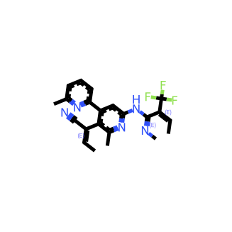 C/C=C(/C#N)c1c(-c2cccc(C)n2)cc(NC(=N/C)/C(=C\C)C(F)(F)F)nc1C